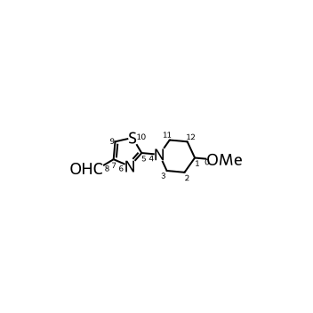 COC1CCN(c2nc(C=O)cs2)CC1